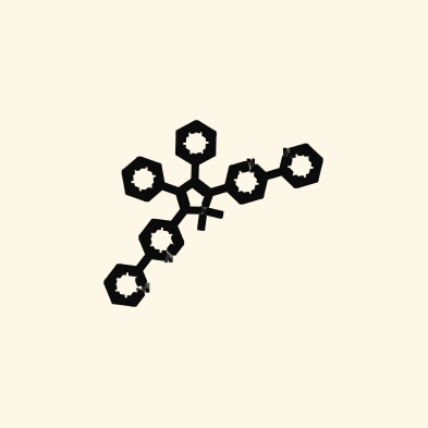 CS1(C)C(c2ccc(-c3ccccn3)nc2)=C(c2ccccc2)C(c2ccccc2)=C1c1ccc(-c2ccccn2)nc1